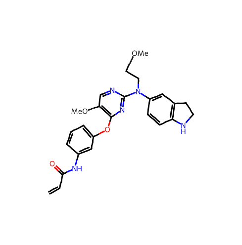 C=CC(=O)Nc1cccc(Oc2nc(N(CCOC)c3ccc4c(c3)CCN4)ncc2OC)c1